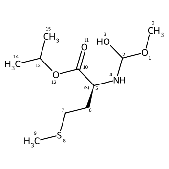 COC(O)N[C@@H](CCSC)C(=O)OC(C)C